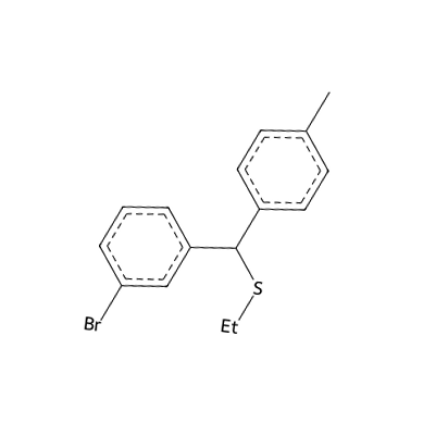 CCSC(c1ccc(C)cc1)c1cccc(Br)c1